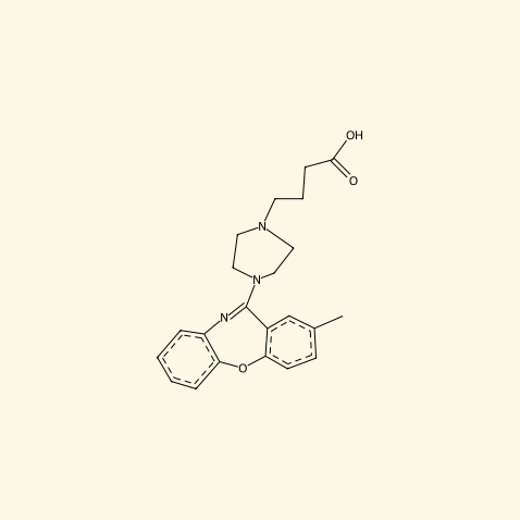 Cc1ccc2c(c1)C(N1CCN(CCCC(=O)O)CC1)=Nc1ccccc1O2